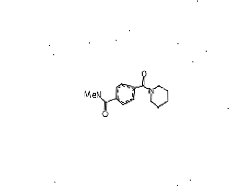 CNC(=O)c1ccc(C(=O)N2CCCCC2)cc1